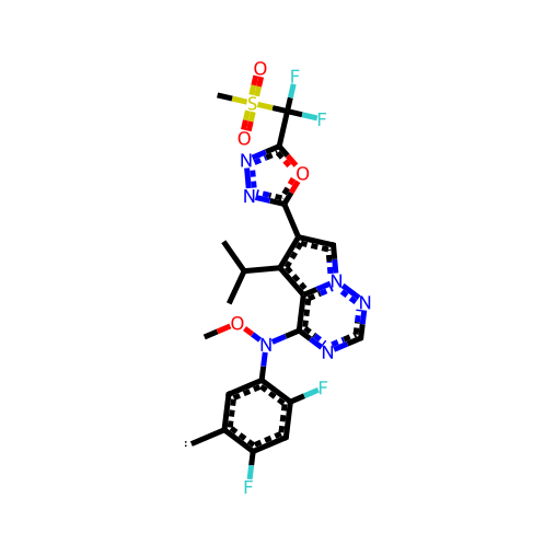 [CH]c1cc(N(OC)c2ncnn3cc(-c4nnc(C(F)(F)S(C)(=O)=O)o4)c(C(C)C)c23)c(F)cc1F